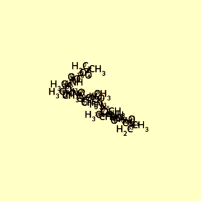 C=C(C)C(=O)OCCOC(=O)NCC1(C)CC(CNC(=O)OC(C)COCC(C)OC(=O)NCC2CC(C)(C)CC(C)(CNC(=O)OCCOC(=O)C(=C)C)C2)CC(C)(C)C1